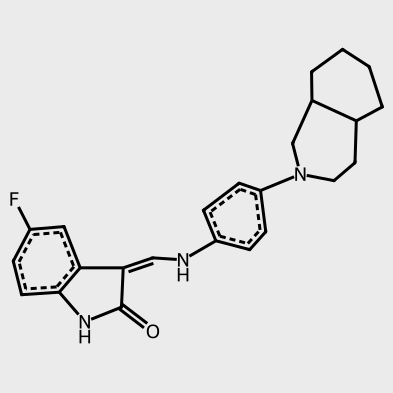 O=C1Nc2ccc(F)cc2C1=CNc1ccc(N2CCC3CCCCC3C2)cc1